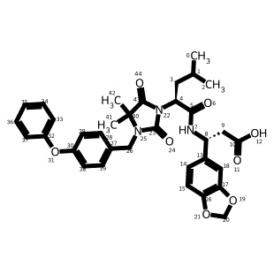 CC(C)C[C@@H](C(=O)N[C@H](CC(=O)O)c1ccc2c(c1)OCO2)N1C(=O)N(Cc2ccc(Oc3ccccc3)cc2)C(C)(C)C1=O